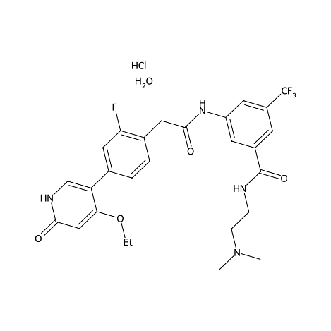 CCOc1cc(=O)[nH]cc1-c1ccc(CC(=O)Nc2cc(C(=O)NCCN(C)C)cc(C(F)(F)F)c2)c(F)c1.Cl.O